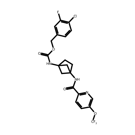 O=C(NC12CCC(NC(=O)c3ccc(OC(F)(F)F)cn3)(C1)C2)OCc1ccc(Cl)c(F)c1